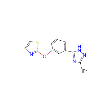 CC(C)c1n[nH]c(-c2cccc(Oc3nccs3)c2)n1